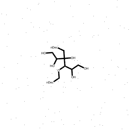 CCCCCCCCCCCOC(C(O)CO)C(O)(CCCCCCCCCCC)C(O)CO